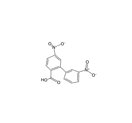 O=C(O)c1ccc([N+](=O)[O-])cc1-c1cccc([N+](=O)[O-])c1